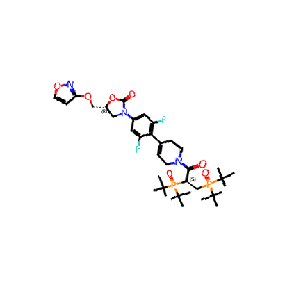 CC(C)(C)P(=O)(C[C@H](C(=O)N1CC=C(c2c(F)cc(N3C[C@H](COc4ccon4)OC3=O)cc2F)CC1)P(=O)(C(C)(C)C)C(C)(C)C)C(C)(C)C